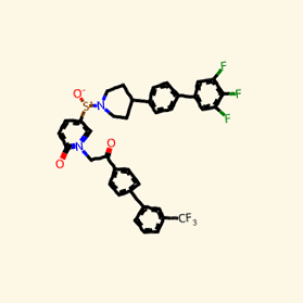 O=C(Cn1cc([S+]([O-])N2CCC(c3ccc(-c4cc(F)c(F)c(F)c4)cc3)CC2)ccc1=O)c1ccc(-c2cccc(C(F)(F)F)c2)cc1